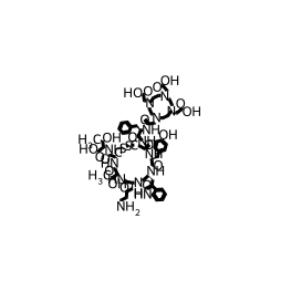 C[C@@H](O)[C@H](NC(=O)C1CSSC[C@H](NC(=O)[C@@H](Cc2ccccc2)NC(=O)CN2CCN(CC(=O)O)CCN(CC(=O)O)CCN(CC(=O)O)CC2)C(=O)N[C@@H](Cc2ccc(O)cc2)C(=O)N[C@H](Cc2c[nH]c3ccccc23)C(=O)N[C@@H](CCCCN)C(=O)N[C@@H]([C@@H](C)O)C(=O)N1)C(=O)O